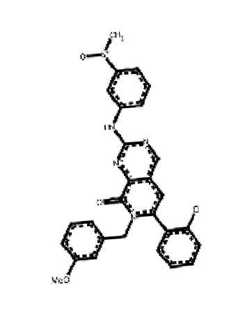 COc1cccc(Cn2c(-c3ccccc3Cl)cc3cnc(Nc4cccc([S+](C)[O-])c4)nc3c2=O)c1